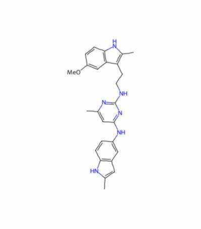 COc1ccc2[nH]c(C)c(CCNc3nc(C)cc(Nc4ccc5[nH]c(C)cc5c4)n3)c2c1